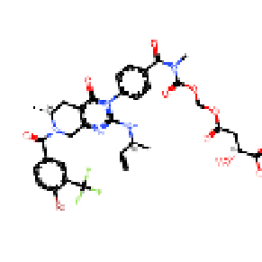 C=C[C@H](C)Nc1nc2c(c(=O)n1-c1ccc(C(=O)N(C)C(=O)OCOC(=O)C[C@@H](O)C(=O)O)cc1)C[C@@H](C)N(C(=O)c1ccc(Br)c(C(F)(F)F)c1)C2